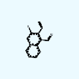 C=Cc1c(F)cc2ccccc2c1C=O